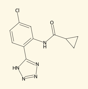 O=C(Nc1cc(Cl)ccc1-c1nnn[nH]1)C1CC1